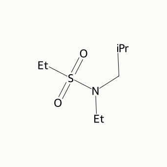 CCN(CC(C)C)S(=O)(=O)CC